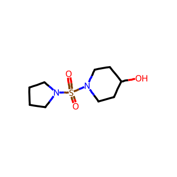 O=S(=O)(N1CCCC1)N1CCC(O)CC1